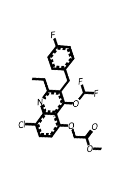 CCc1nc2c(Cl)ccc(OCC(=O)OC)c2c(OC(F)F)c1Cc1ccc(F)cc1